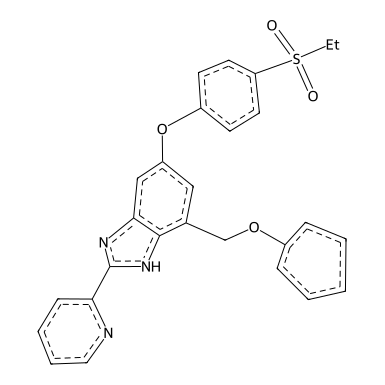 CCS(=O)(=O)c1ccc(Oc2cc(COc3ccccc3)c3[nH]c(-c4ccccn4)nc3c2)cc1